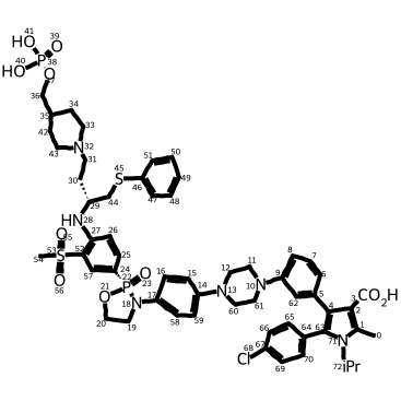 Cc1c(C(=O)O)c(-c2cccc(N3CCN(c4ccc(N5CCO[P@]5(=O)c5ccc(N[C@H](CCN6CCC(COP(=O)(O)O)CC6)CSc6ccccc6)c(S(C)(=O)=O)c5)cc4)CC3)c2)c(-c2ccc(Cl)cc2)n1C(C)C